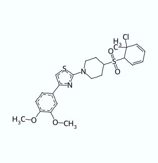 COc1ccc(-c2csc(N3CCC(S(=O)(=O)C4C=CC=CC4(C)Cl)CC3)n2)cc1OC